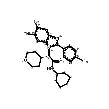 O=C(NC1CCCCC1)[C@H](C1CCOCC1)n1c(-c2ccc(Cl)cc2)nc2cc(F)c(Cl)cc21